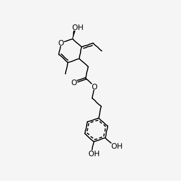 C/C=C1\C(CC(=O)OCCc2ccc(O)c(O)c2)C(C)=CO[C@H]1O